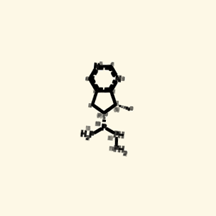 C[C@H]1c2ncncc2C[C@H]1P(P)PP